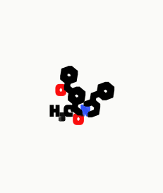 CC(C(=O)N1CCCC(Cc2ccccc2)C1)c1cccc(C(=O)c2ccccc2)c1